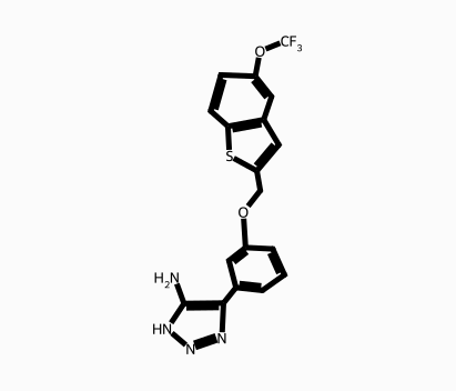 Nc1[nH]nnc1-c1cccc(OCc2cc3cc(OC(F)(F)F)ccc3s2)c1